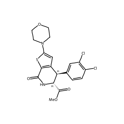 COC(=O)[C@@H]1NC(=O)c2sc(N3CCOCC3)cc2[C@H]1c1ccc(Cl)c(Cl)c1